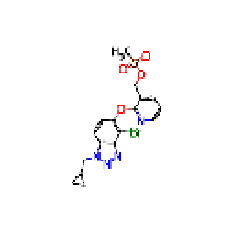 CS(=O)(=O)OCc1cccnc1Oc1ccc2c(nnn2CC2CC2)c1Br